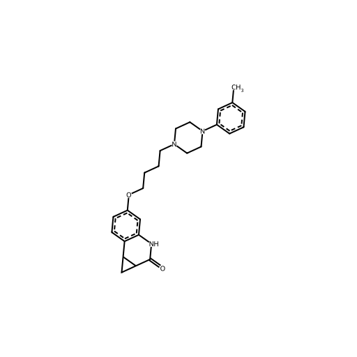 Cc1cccc(N2CCN(CCCCOc3ccc4c(c3)NC(=O)C3CC43)CC2)c1